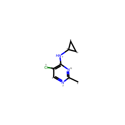 Cc1ncc(Cl)c(NC2CC2)n1